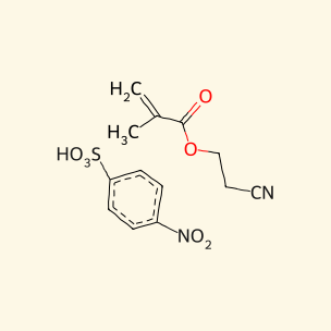 C=C(C)C(=O)OCCC#N.O=[N+]([O-])c1ccc(S(=O)(=O)O)cc1